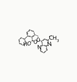 Cc1cc(OCc2cccc(-c3ccccc3)c2C(=O)O)c2ncccc2n1